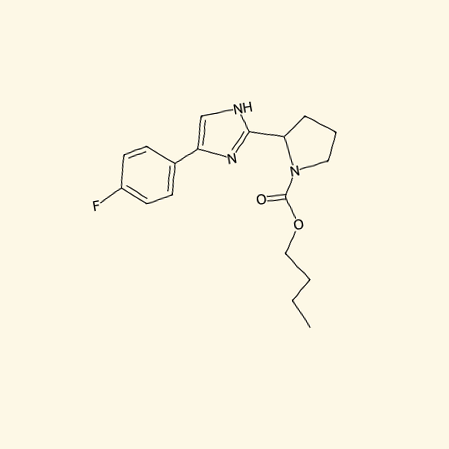 CCCCOC(=O)N1CCCC1c1nc(-c2ccc(F)cc2)c[nH]1